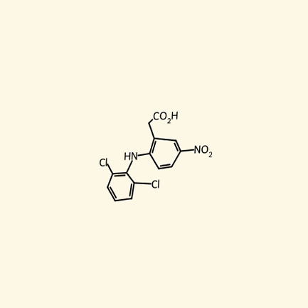 O=C(O)Cc1cc([N+](=O)[O-])ccc1Nc1c(Cl)cccc1Cl